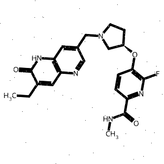 CCc1cc2ncc(CN3CC[C@@H](Oc4ccc(C(=O)NC)nc4F)C3)cc2[nH]c1=O